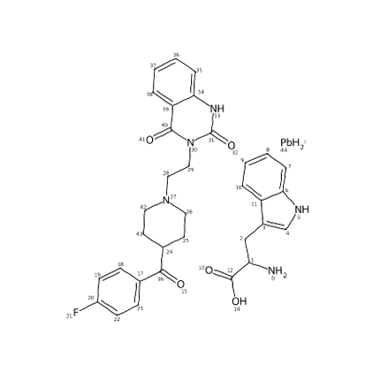 NC(Cc1c[nH]c2ccccc12)C(=O)O.O=C(c1ccc(F)cc1)C1CCN(CCn2c(=O)[nH]c3ccccc3c2=O)CC1.[PbH2]